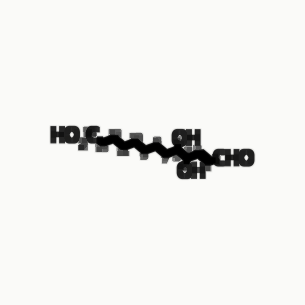 O=C/C=C/C(O)C(O)CCCCCCCC(=O)O